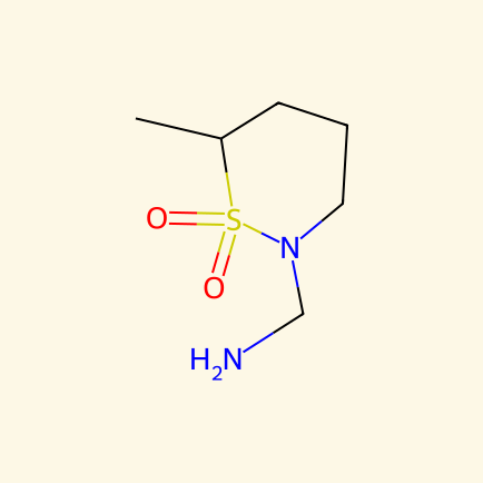 CC1CCCN(CN)S1(=O)=O